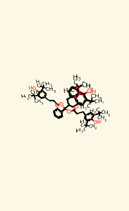 CC(C)(C)c1cc(CCC(=O)OC(OC(=O)CCc2cc(C(C)(C)C)c(O)c(C(C)(C)C)c2)(c2ccccc2)C(Cc2ccccc2)Cc2cc(C(C)(C)C)c(O)c(C(C)(C)C)c2)cc(C(C)(C)C)c1O